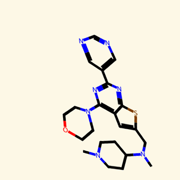 CN1CCC(N(C)Cc2cc3c(N4CCOCC4)nc(-c4cncnc4)nc3s2)CC1